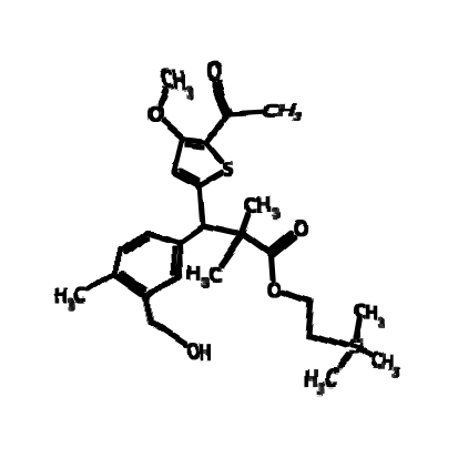 COc1cc(C(c2ccc(C)c(CO)c2)C(C)(C)C(=O)OCC[Si](C)(C)C)sc1C(C)=O